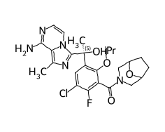 Cc1nc([C@@](C)(O)c2cc(Cl)c(F)c(C(=O)N3CC4CCC(C3)O4)c2OC(C)C)n2ccnc(N)c12